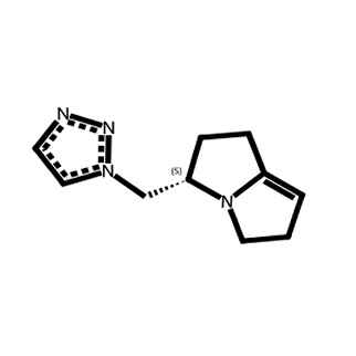 C1=C2CC[C@@H](Cn3ccnn3)N2CC1